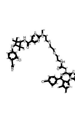 Cc1sc2c(c1C)C(c1ccc(Cl)cc1)=N[C@@H](CC(=O)NCCOCCOCCN(C)c1ncc(C(=O)NC3C(C)(C)C(Oc4ccc(C#N)c(Cl)c4)C3(C)C)cn1)c1nnc(C)n1-2